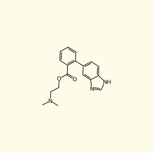 CN(C)CCOC(=O)c1ccc[c]c1-c1ccc2[nH]cnc2c1